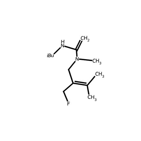 C=C(NC(C)CC)N(C)CC(CF)=C(C)C